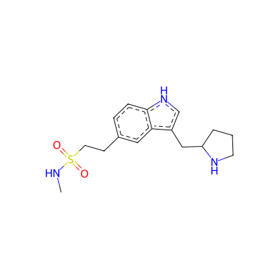 CNS(=O)(=O)CCc1ccc2[nH]cc(CC3CCCN3)c2c1